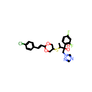 CC(SC1COC(/C=C/c2ccc(Cl)cc2)OC1)C(O)(Cn1cncn1)c1ccc(F)cc1F